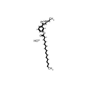 CCCCCCCCCCCCCCCC(=O)Oc1cccc(C(=O)CNCC)c1.Cl